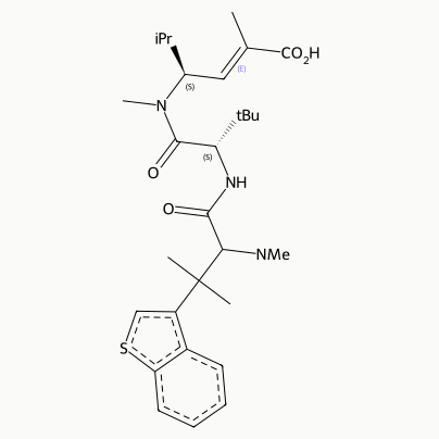 CNC(C(=O)N[C@H](C(=O)N(C)[C@H](/C=C(\C)C(=O)O)C(C)C)C(C)(C)C)C(C)(C)c1csc2ccccc12